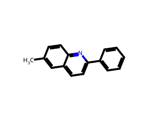 Cc1ccc2nc(-c3ccccc3)ccc2c1